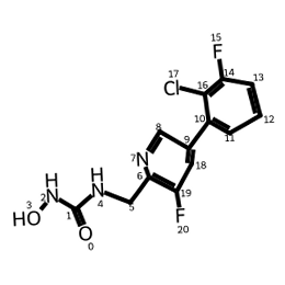 O=C(NO)NCc1ncc(-c2cccc(F)c2Cl)cc1F